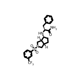 NC(=O)[C@H](Cc1ccccc1)N[C@H]1CC[C@@H]2CN(S(=O)(=O)c3cccc(C(F)(F)F)c3)C[C@@H]21